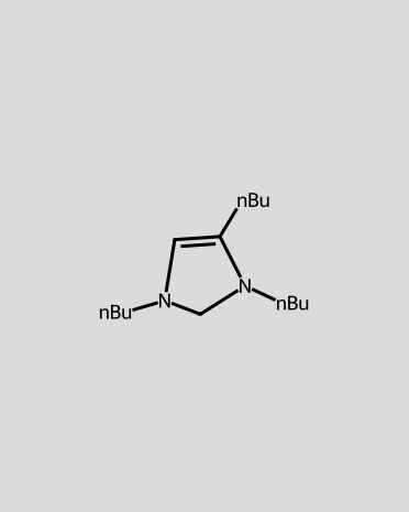 CCCCC1=CN(CCCC)CN1CCCC